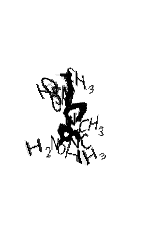 CC=CN(C1CCCN(c2ccc(C(N)=O)c3[nH]c(C)c(C)c23)C1)[SH](=O)=O